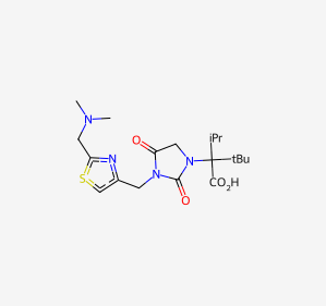 CC(C)C(C(=O)O)(N1CC(=O)N(Cc2csc(CN(C)C)n2)C1=O)C(C)(C)C